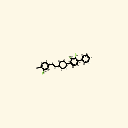 Cc1ccc(CCC2CCC(c3ccc(-c4ccccc4)c(F)c3F)CC2)cc1F